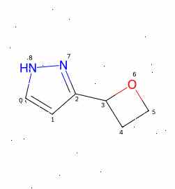 [c]1cc(C2CCO2)n[nH]1